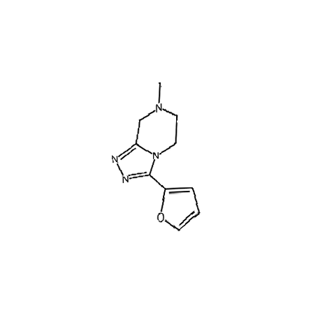 CN1CCn2c(nnc2-c2ccco2)C1